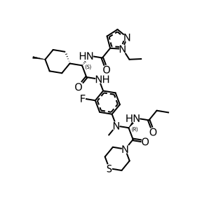 CCC(=O)N[C@@H](C(=O)N1CCSCC1)N(C)c1ccc(NC(=O)[C@@H](NC(=O)c2ccnn2CC)[C@H]2CC[C@H](C)CC2)c(F)c1